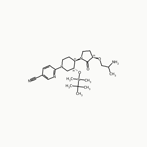 CC(N)CO[C@@H]1CCN([C@@H]2CCN(c3ccc(C#N)cn3)C[C@H]2O[Si](C)(C)C(C)(C)C)C1=O